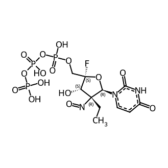 CC[C@]1(N=O)[C@H](n2ccc(=O)[nH]c2=O)O[C@](F)(COP(=O)(O)OP(=O)(O)OP(=O)(O)O)[C@H]1O